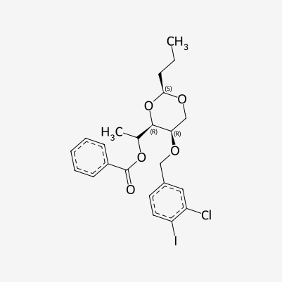 CCC[C@H]1OC[C@@H](OCc2ccc(I)c(Cl)c2)[C@@H](C(C)OC(=O)c2ccccc2)O1